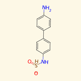 Nc1ccc(-c2ccc(N[SH](=O)=O)cc2)cc1